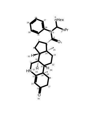 CCCCCCC(CCC)N(C(=O)[C@H]1CC[C@H]2[C@@H]3CNC4=CC(=O)CC[C@]4(C)[C@H]3CC[C@]12C)c1ccccc1